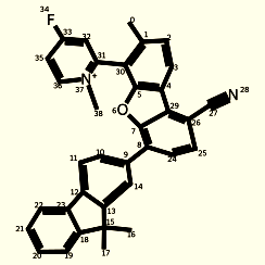 Cc1ccc2c(oc3c(-c4ccc5c(c4)C(C)(C)c4ccccc4-5)ccc(C#N)c32)c1-c1cc(F)cc[n+]1C